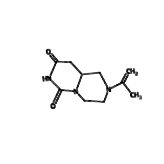 C=C(C)N1CCN2C(=O)NC(=O)CC2C1